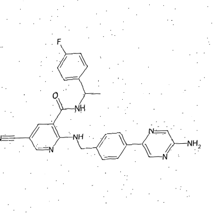 CC(NC(=O)c1cc(C#N)cnc1NCc1ccc(-c2cnc(N)cn2)cc1)c1ccc(F)cc1